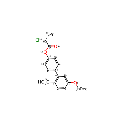 CCCCCCCCCCOc1ccc(C(=O)O)c(-c2ccc(OC(=O)[C@H](Cl)C(C)C)cc2)c1